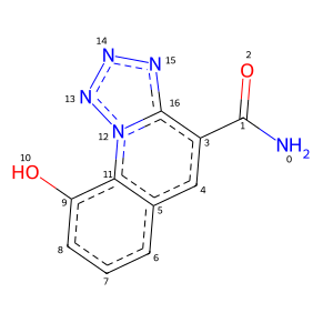 NC(=O)c1cc2cccc(O)c2n2nnnc12